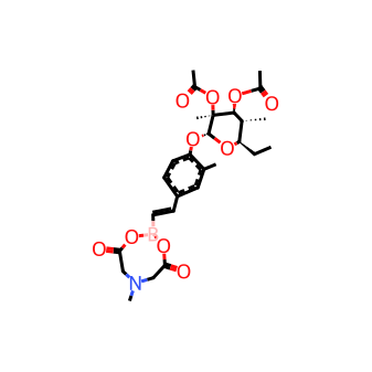 CC[C@H]1O[C@H](Oc2ccc(/C=C/B3OC(=O)CN(C)CC(=O)O3)cc2C)[C@@](C)(OC(C)=O)[C@@H](OC(C)=O)[C@@H]1C